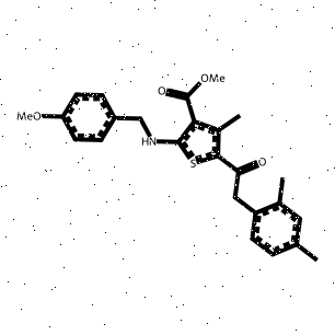 COC(=O)c1c(NCc2ccc(OC)cc2)sc(C(=O)Cc2ccc(C)cc2C)c1C